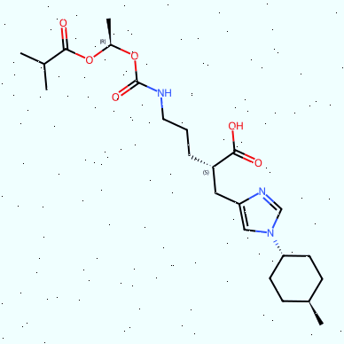 CC(C)C(=O)O[C@@H](C)OC(=O)NCCC[C@@H](Cc1cn([C@H]2CC[C@H](C)CC2)cn1)C(=O)O